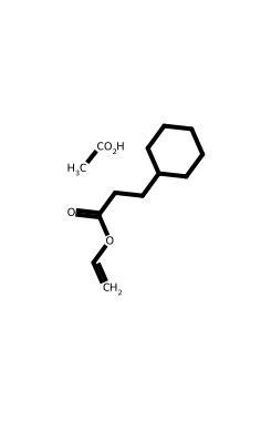 C=COC(=O)CCC1CCCCC1.CC(=O)O